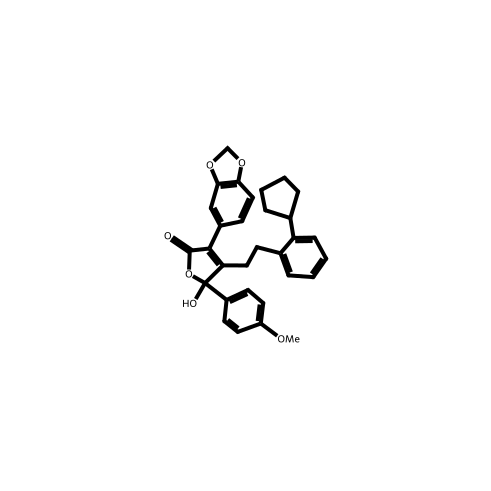 COc1ccc(C2(O)OC(=O)C(c3ccc4c(c3)OCO4)=C2CCc2ccccc2C2CCCC2)cc1